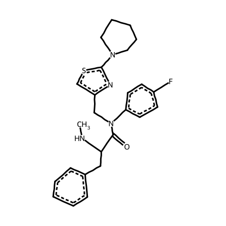 CNC(Cc1ccccc1)C(=O)N(Cc1csc(N2CCCCC2)n1)c1ccc(F)cc1